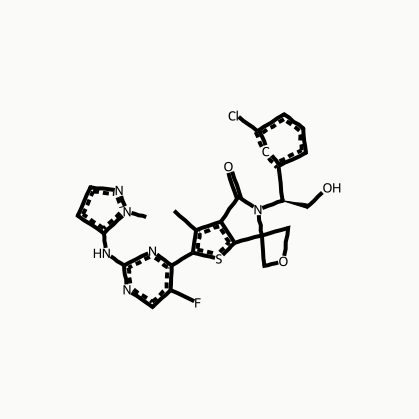 Cc1c(-c2nc(Nc3ccnn3C)ncc2F)sc2c1C(=O)N([C@H](CO)c1cccc(Cl)c1)C21COC1